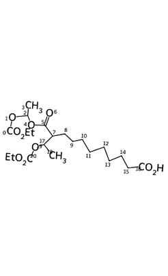 CCOC(=O)OC(C)OC(=O)C(CCCCCCCCC(=O)O)C(C)OC(=O)OCC